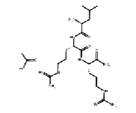 CC(=O)O.CC(C)C[C@H](N)C(=O)N[C@@H](CCCNC(=N)N)C(=O)N[C@@H](CCCNC(=N)N)C(N)=O